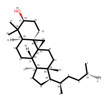 CC(C)[C@@H](C)CC[C@@H](C)[C@H]1CC[C@@]2(C)[C@@H]3CC[C@H]4C(C)(C)[C@@H](O)CC[C@@]45C[C@@]35CC[C@]12C